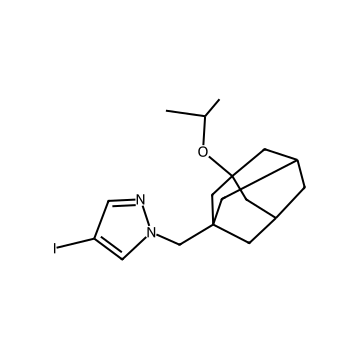 CC(C)OC12CC3CC(CC(Cn4cc(I)cn4)(C3)C1)C2